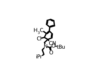 CC1=C(c2ccccc2)C=CC(C#N)(CN(CCC(C)C)C(=O)OC(C)(C)C)C1Cl